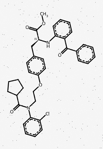 COC(=O)[C@H](Cc1ccc(OCCN(C(=O)C2CCCC2)c2ccccc2Cl)cc1)Nc1ccccc1C(=O)c1ccccc1